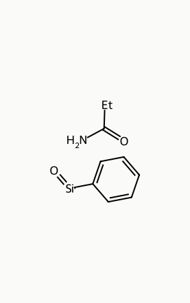 CCC(N)=O.O=[Si]c1ccccc1